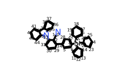 N#Cc1c(-c2ccc([Si](c3ccccc3)(c3ccccc3)c3ccccc3)cc2)cccc1-n1c2ccccc2c2ccccc21